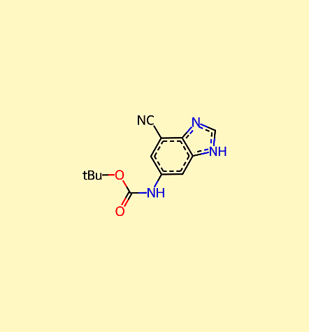 CC(C)(C)OC(=O)Nc1cc(C#N)c2nc[nH]c2c1